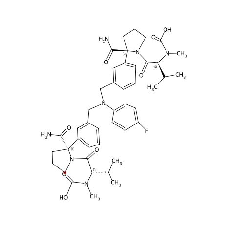 CC(C)[C@@H](C(=O)N1CCC[C@@]1(C(N)=O)c1cccc(CN(Cc2cccc([C@]3(C(N)=O)CCCN3C(=O)[C@H](C(C)C)N(C)C(=O)O)c2)c2ccc(F)cc2)c1)N(C)C(=O)O